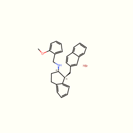 Br.COc1ccccc1CN[C@@H]1CCc2ccccc2[C@@H]1Cc1ccc2ccccc2c1